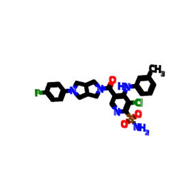 Cc1cccc(Nc2c(C(=O)N3CC4CN(c5ccc(F)cc5)CC4C3)cnc(S(N)(=O)=O)c2Cl)c1